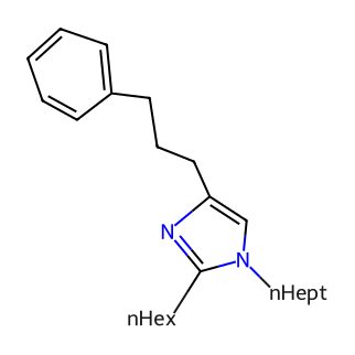 CCCCCCCn1cc(CCCc2ccccc2)nc1CCCCCC